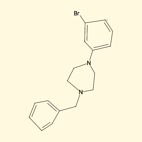 Brc1[c]ccc(N2CCN(Cc3ccccc3)CC2)c1